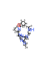 C=C1Cc2ccccc2C(=O)N2CCCCC2c2cc3nc(N4CCC4)cc(n3n2)N(C)CCN1